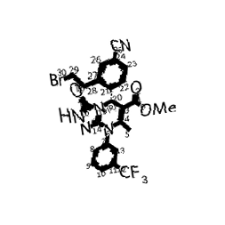 COC(=O)C1=C(C)N(c2cccc(C(F)(F)F)c2)c2n[nH]c(=O)n2[C@@H]1c1ccc(C#N)cc1CCBr